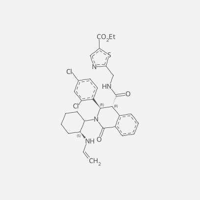 C=CN[C@H]1CCCCC1N1C(=O)c2ccccc2[C@@H](C(=O)NCc2ncc(C(=O)OCC)s2)[C@@H]1c1ccc(Cl)cc1Cl